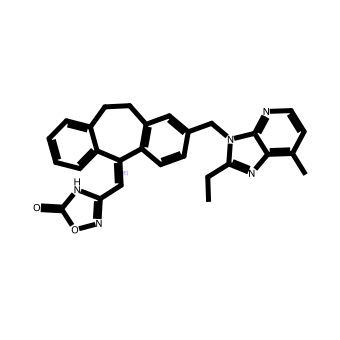 CCc1nc2c(C)ccnc2n1Cc1ccc2c(c1)CCc1ccccc1/C2=C\c1noc(=O)[nH]1